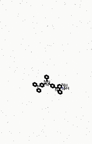 N=C1C=Cc2c(-c3ccc(-c4nc(-c5ccccc5)nc(-c5ccc(P(c6ccccc6)c6ccccc6)cc5)n4)cc3)nc3ccccc3c2/C1=N/S